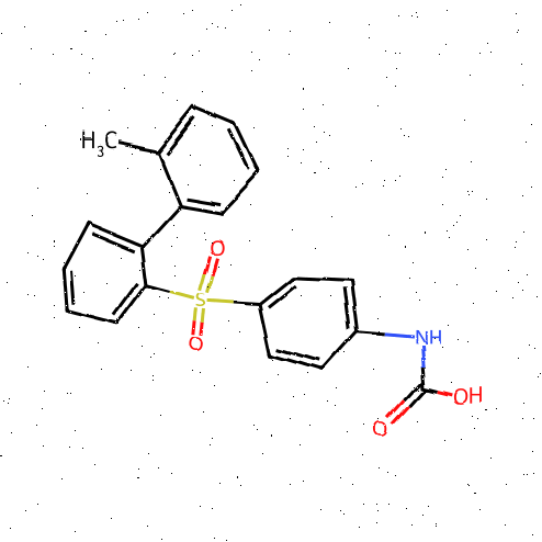 Cc1ccccc1-c1ccccc1S(=O)(=O)c1ccc(NC(=O)O)cc1